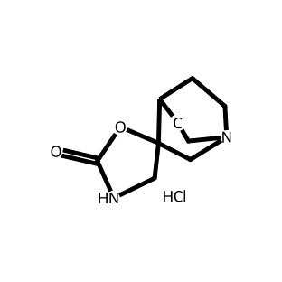 Cl.O=C1NCC2(CN3CCC2CC3)O1